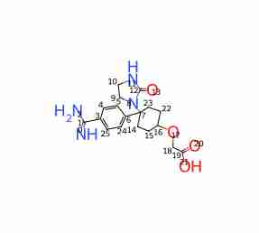 N=C(N)c1ccc(C2(N3CCNC3=O)CCC(OCC(=O)O)CC2)cc1